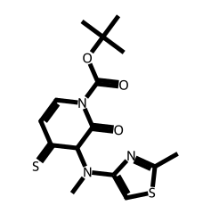 Cc1nc(N(C)C2C(=O)N(C(=O)OC(C)(C)C)C=CC2=S)cs1